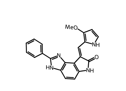 COc1cc[nH]c1C=C1C(=O)Nc2ccc3[nH]c(-c4ccccc4)nc3c21